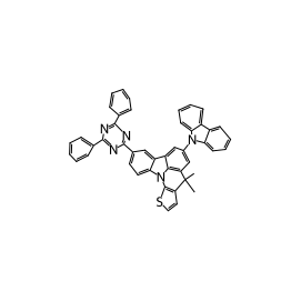 CC1(C)c2ccsc2-n2c3ccc(-c4nc(-c5ccccc5)nc(-c5ccccc5)n4)cc3c3cc(-n4c5ccccc5c5ccccc54)cc1c32